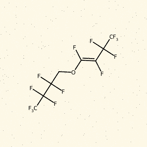 FC(OCC(F)(F)C(F)(F)C(F)(F)F)=C(F)C(F)(F)C(F)(F)F